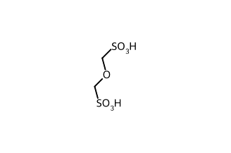 O=S(=O)(O)COCS(=O)(=O)O